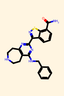 NC(=O)c1cccc2c(-c3nc4c(c(NCc5ccccc5)n3)CCNCC4)nsc12